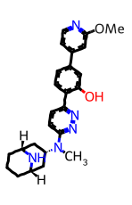 COc1cc(-c2ccc(-c3ccc(N(C)[C@H]4C[C@H]5CCC[C@@H](C4)N5)nn3)c(O)c2)ccn1